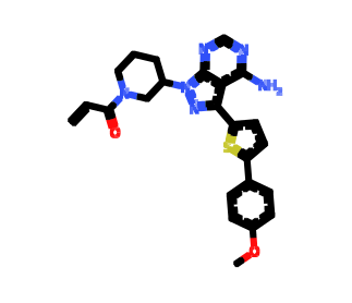 C=CC(=O)N1CCCC(n2nc(-c3ccc(-c4ccc(OC)cc4)s3)c3c(N)ncnc32)C1